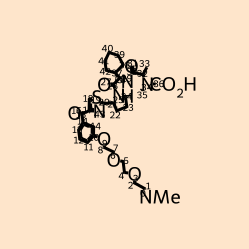 CNCCOCCOCCOc1cccc(C(=O)c2csc(C3CCCN3C(=O)[C@@H](NC(=O)C(C)N(C)C(=O)O)C3CCCCC3)n2)c1